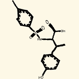 Cc1ccc(S(=O)(=O)NC(C(=O)O)C(C)c2ccc(O)cc2)cc1